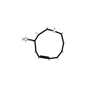 NC1C/C=C\CCCCCCC1